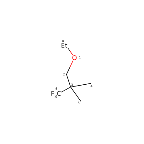 CCOCC(C)(C)C(F)(F)F